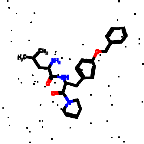 CC(C)CC(N)C(=O)NC(Cc1ccc(OCc2ccccc2)cc1)C(=O)N1CC=CCC1